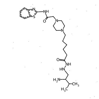 CC(C)C(N)CNNC(=O)CCCCCN1CCN(CC(=O)Nc2nc3ccccc3s2)CC1